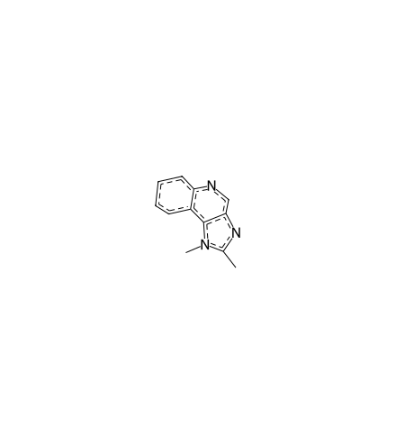 Cc1nc2cnc3ccccc3c2n1C